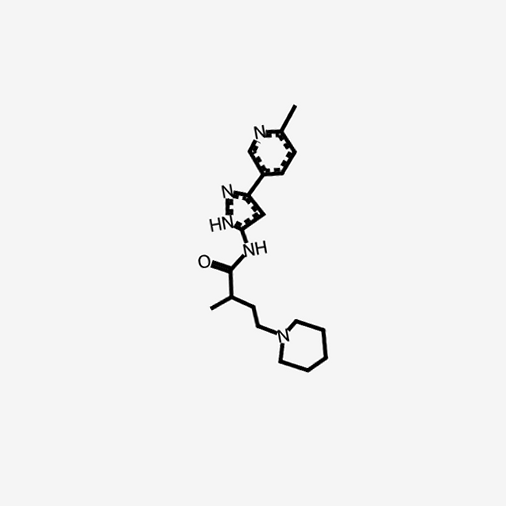 Cc1ccc(-c2cc(NC(=O)C(C)CCN3CCCCC3)[nH]n2)cn1